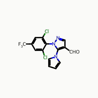 O=Cc1cnn(-c2c(Cl)cc(C(F)(F)F)cc2Cl)c1-n1cccc1